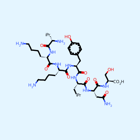 CC(C)C[C@H](NC(=O)[C@H](Cc1ccc(O)cc1)NC(=O)[C@H](CCCCN)NC(=O)[C@H](CCCCN)NC(=O)[C@@H](N)C(C)C)C(=O)N[C@@H](CC(N)=O)C(=O)N[C@@H](CO)C(=O)O